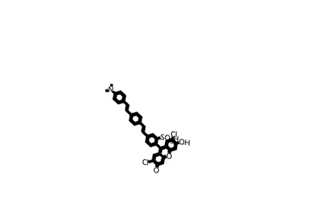 CN(C)c1ccc(C=Cc2ccc(C=Cc3ccc(-c4c5cc(Cl)c(=O)cc-5oc5cc(O)c(Cl)cc45)c(S(=O)(=O)O)c3)cc2)cc1